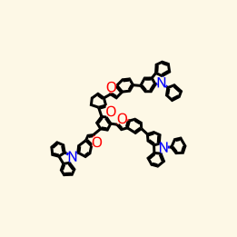 C1=C(c2cc3cc(-c4ccc5c(c4)c4ccccc4n5-c4ccccc4)ccc3o2)c2oc3c(-c4cc5cc(-c6ccc7c(c6)c6ccccc6n7-c6ccccc6)ccc5o4)cc(-c4cc5cc(-n6c7ccccc7c7ccccc76)ccc5o4)cc3c2CC1